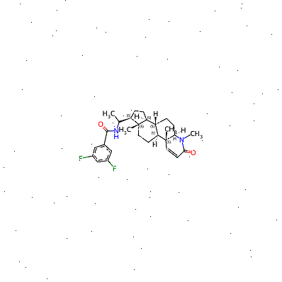 CC(NC(=O)c1cc(F)cc(F)c1)[C@H]1CC[C@H]2[C@@H]3CC[C@H]4N(C)C(=O)C=C[C@]4(C)[C@H]3CC[C@]12C